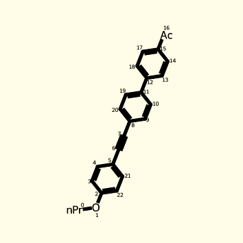 CCCOc1ccc(C#Cc2ccc(-c3ccc(C(C)=O)cc3)cc2)cc1